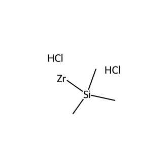 C[Si](C)(C)[Zr].Cl.Cl